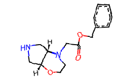 O=C(CN1CCO[C@@H]2CNC[C@@H]21)OCc1ccccc1